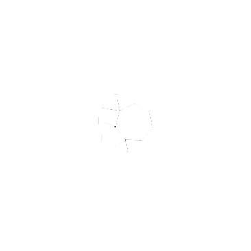 FC1(F)CCCCC(F)(F)C1(F)F